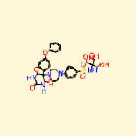 O=C1NC(=O)C(c2ccc(Oc3ccccc3)cc2)(N2CCN(c3ccc(S(=O)(=O)NC(CO)(CO)CO)cc3)CC2)C(=O)N1